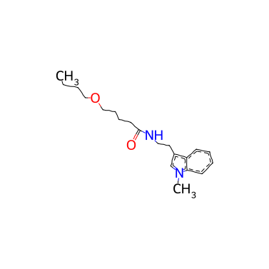 CCCCOCCCCC(=O)NCCc1cn(C)c2ccccc12